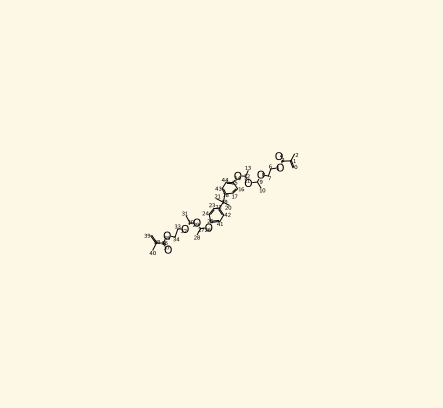 C=C(C)C(=O)OCCOC(C)OC(C)Oc1ccc(C(C)(C)c2ccc(OC(C)OC(C)OCCOC(=O)C(=C)C)cc2)cc1